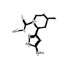 CNc1cc(C2CC(C)CCN2C(=O)OC(C)(C)C)n[nH]1